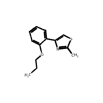 CCCOc1ccccc1-c1csc(C)n1